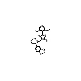 CCc1cccc(CC)c1-c1nc(Br)c(CN2CCCCC2c2ccc3c(c2)OCO3)n1C